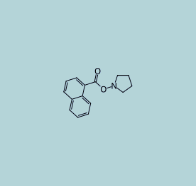 O=C(ON1CCCC1)c1cccc2ccccc12